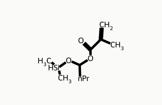 C=C(C)C(=O)OC(CCC)O[SiH](C)C